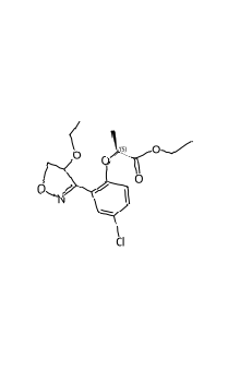 CCOC(=O)[C@H](C)Oc1ccc(Cl)cc1C1=NOCC1OCC